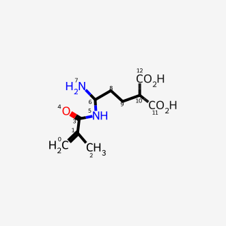 C=C(C)C(=O)NC(N)CCC(C(=O)O)C(=O)O